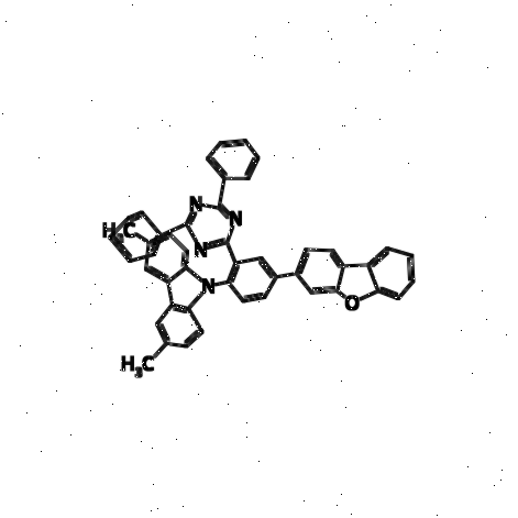 Cc1ccc2c(c1)c1cc(C)ccc1n2-c1ccc(-c2ccc3c(c2)oc2ccccc23)cc1-c1nc(-c2ccccc2)nc(-c2ccccc2)n1